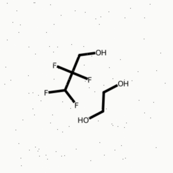 OCC(F)(F)C(F)F.OCCO